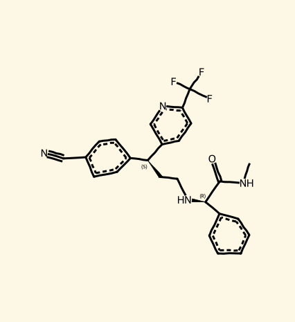 CNC(=O)[C@H](NCC[C@@H](c1ccc(C#N)cc1)c1ccc(C(F)(F)F)nc1)c1ccccc1